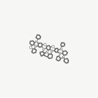 c1ccc(N2c3cc4c(cc3B3c5ccccc5Oc5cccc2c53)B2c3c(cc5c6c3-n3c7c2cccc7c2cccc(c23)B6c2cc3c(cc2O5)N(c2ccccc2)c2cccc5c2B3c2ccccc2N5c2ccccc2)O4)cc1